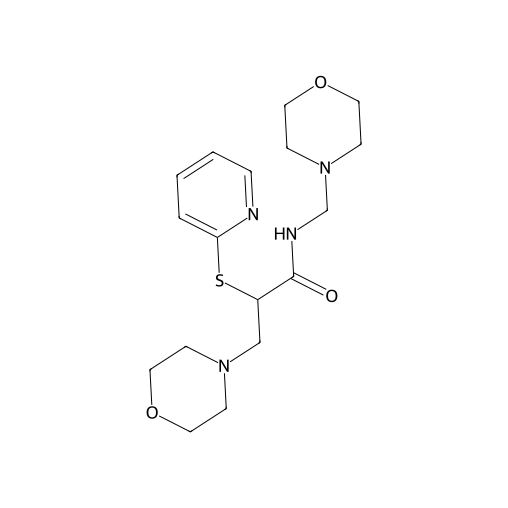 O=C(NCN1CCOCC1)C(CN1CCOCC1)Sc1ccccn1